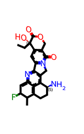 CC[C@@]1(O)C(=O)OCc2c1cc1n(c2=O)Cc2c-1nc1c3c2[C@@H](N)CCC=3C(C)C(F)C=1